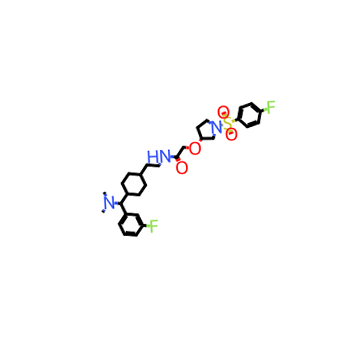 CN(C)C(c1cccc(F)c1)C1CCC(CCNC(=O)COC2CCN(S(=O)(=O)c3ccc(F)cc3)C2)CC1